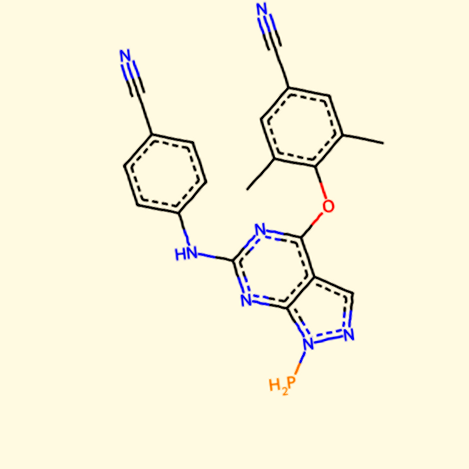 Cc1cc(C#N)cc(C)c1Oc1nc(Nc2ccc(C#N)cc2)nc2c1cnn2P